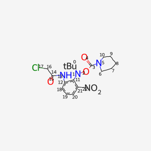 CC(C)(C)N(OC(=O)N1CCCCC1)c1c(NC(=O)CCl)cccc1[N+](=O)[O-]